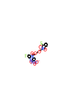 O=C1c2ccccc2C(F)C(=O)N1CCOCCOCC(=O)N(c1ccc(F)cc1)c1ccc([N+](=O)[O-])c2nonc12